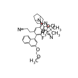 COCOc1cc(-c2c(CCC#N)cc3c(N4C5CCC4CN(C(=O)OC(C)(C)C)C5)nc(Cl)c(C#N)c3c2F)c2ccccc2c1